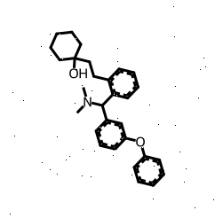 CN(C)C(c1cccc(Oc2ccccc2)c1)c1ccccc1CCC1(O)CCCCC1